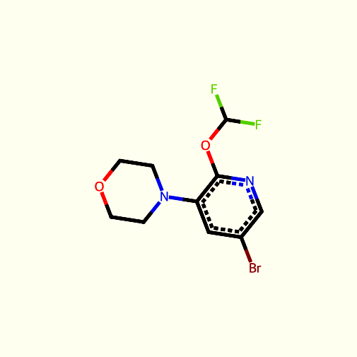 FC(F)Oc1ncc(Br)cc1N1CCOCC1